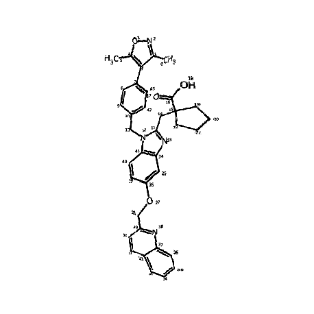 Cc1noc(C)c1-c1ccc(Cn2c(CC3(C(=O)O)CCCC3)nc3cc(OCc4ccc5ccccc5n4)ccc32)cc1